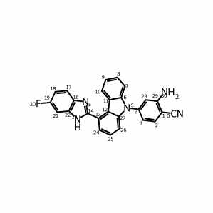 N#Cc1ccc(-n2c3ccccc3c3c(-c4nc5ccc(F)cc5[nH]4)cccc32)cc1N